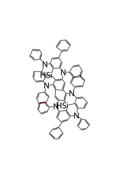 c1ccc(-c2cc3c4c(c2)N(c2ccccc2)c2cc5c6c7c(cc5c5c2[SiH]4c2c(cccc2N5c2ccccc2)N3c2ccccc2)N(c2ccccc2)c2cc(-c3ccccc3)cc3c2[SiH]7c2c(cccc2N6c2ccccc2)N3c2ccccc2)cc1